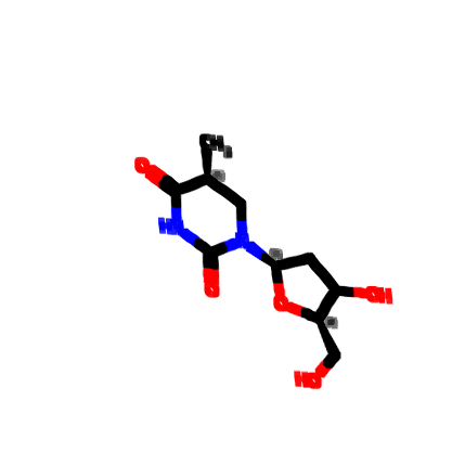 C[C@H]1CN([C@H]2CC(O)[C@@H](CO)O2)C(=O)NC1=O